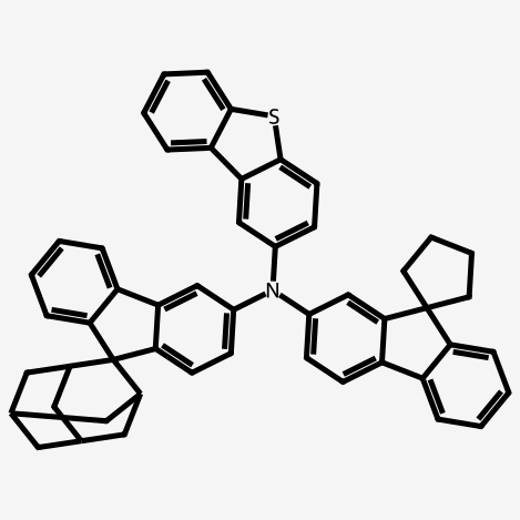 c1ccc2c(c1)-c1ccc(N(c3ccc4c(c3)-c3ccccc3C43C4CC5CC(C4)CC3C5)c3ccc4sc5ccccc5c4c3)cc1C21CCCC1